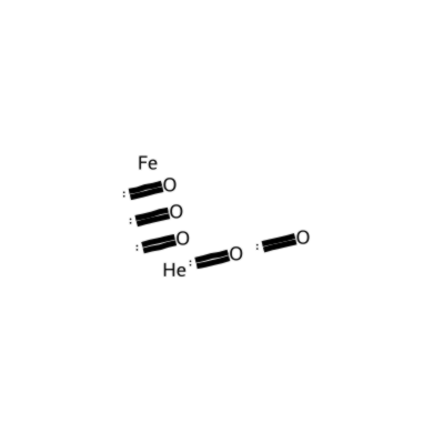 [C]=O.[C]=O.[C]=O.[C]=O.[C]=O.[Fe].[He]